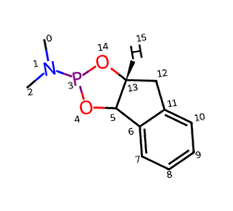 CN(C)P1OC2c3ccccc3C[C@H]2O1